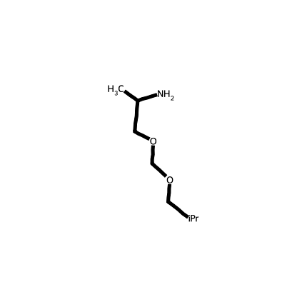 CC(C)COCOCC(C)N